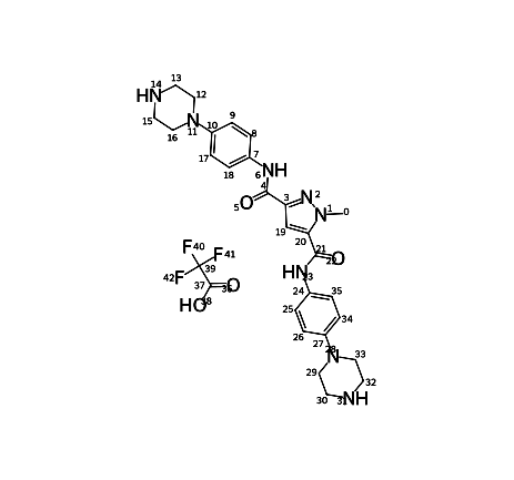 Cn1nc(C(=O)Nc2ccc(N3CCNCC3)cc2)cc1C(=O)Nc1ccc(N2CCNCC2)cc1.O=C(O)C(F)(F)F